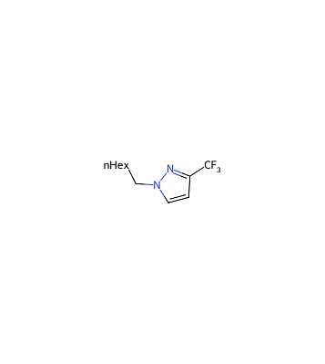 CCCCCCCn1ccc(C(F)(F)F)n1